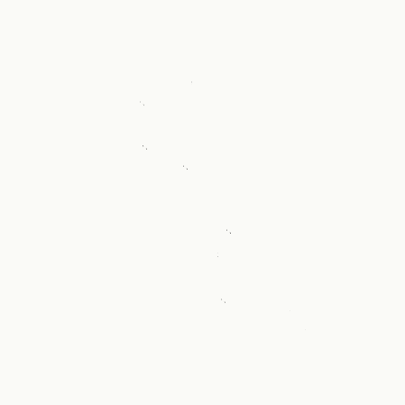 Cc1cc(N2CCC(NC(=O)c3cc(C4CC4)on3)CC2)nc(C)n1